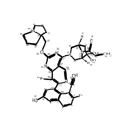 C#Cc1c(F)ccc2cc(O)cc(-c3ncc4c(N5C[C@@H]6C[C@](C)(O)[C@H](C5)N6C(=O)C=C)nc(OCC56CCCN5CCC6)nc4c3F)c12